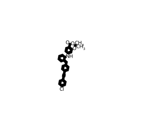 CC1(C)OC(=O)c2ccc(NC3C=CC=CC3=Cc3ccc(C#Cc4ccc(Cl)cc4)cc3)cc2O1